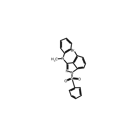 CN(c1ccccc1)c1nn(S(=O)(=O)c2ccccc2)c2cccc(Br)c12